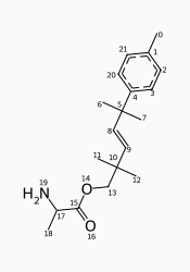 Cc1ccc(C(C)(C)/C=C/C(C)(C)COC(=O)C(C)N)cc1